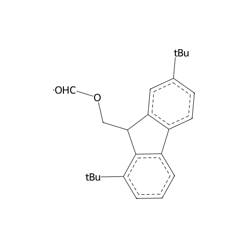 CC(C)(C)c1ccc2c(c1)C(CO[C]=O)c1c-2cccc1C(C)(C)C